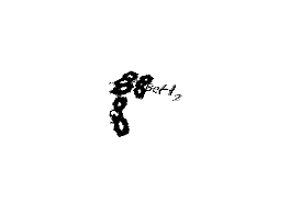 [BeH2].[CH]1c2ccccc2-c2ccccc21.c1ccc2c(c1)oc1ccccc12.c1ccc2c(c1)sc1ccccc12